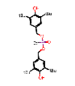 CCP(=O)(OCc1cc(C(C)(C)C)c(O)c(C(C)(C)C)c1)OCc1cc(C(C)(C)C)c(O)c(C(C)(C)C)c1